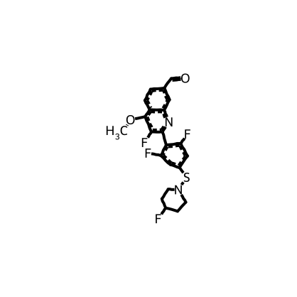 COc1c(F)c(-c2c(F)cc(SN3CCC(F)CC3)cc2F)nc2cc(C=O)ccc12